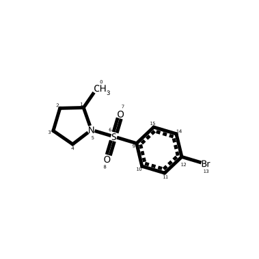 CC1CCCN1S(=O)(=O)c1ccc(Br)cc1